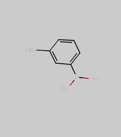 CCCCc1cccc(B(O)O)c1